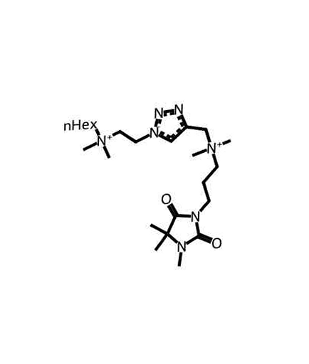 CCCCCC[N+](C)(C)CCn1cc(C[N+](C)(C)CCCN2C(=O)N(C)C(C)(C)C2=O)nn1